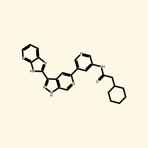 O=C(CC1CCCCC1)Nc1cncc(-c2cc3c(-c4nc5cccnc5[nH]4)n[nH]c3cn2)c1